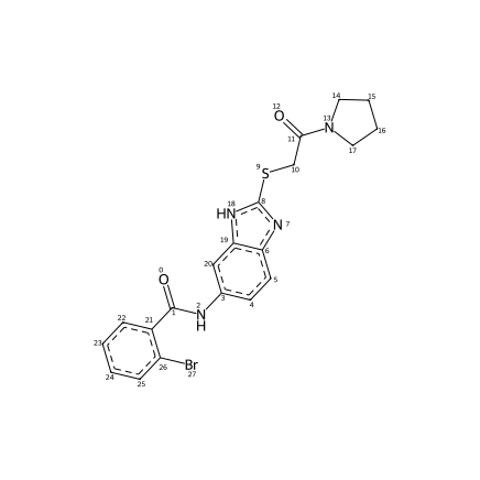 O=C(Nc1ccc2nc(SCC(=O)N3CCCC3)[nH]c2c1)c1ccccc1Br